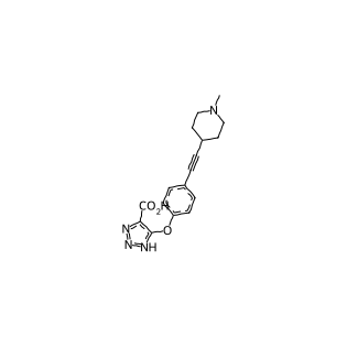 CN1CCC(C#Cc2ccc(Oc3[nH]nnc3C(=O)O)cc2)CC1